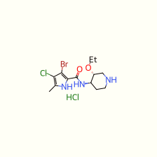 CCO[C@@H]1CNCC[C@H]1NC(=O)c1[nH]c(C)c(Cl)c1Br.Cl